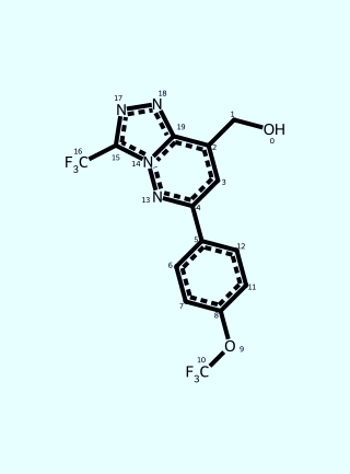 OCc1cc(-c2ccc(OC(F)(F)F)cc2)nn2c(C(F)(F)F)nnc12